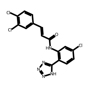 O=C(C=Cc1ccc(Cl)c(Cl)c1)Nc1cc(Cl)ccc1-c1nnn[nH]1